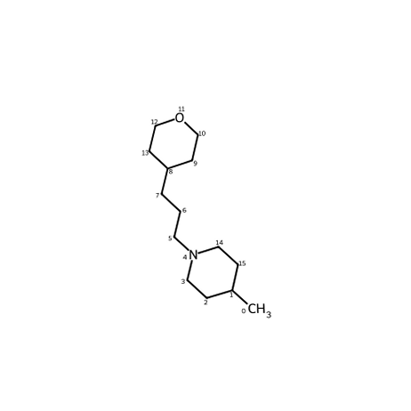 CC1CCN(CCCC2CCOCC2)CC1